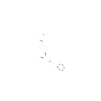 CC(C)(C)OC(=O)N1CCC(=C(NC(=O)OCc2ccccc2)C(=O)O)CC1